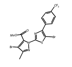 COC(=O)c1c(Br)c(C)nn1-c1nc(-c2ccc(C(F)(F)F)cc2)c(Br)s1